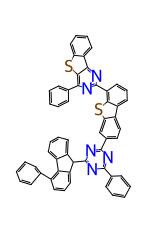 c1ccc(-c2nc(-c3ccc4c(c3)sc3c(-c5nc(-c6ccccc6)c6sc7ccccc7c6n5)cccc34)nc(C3c4ccccc4-c4c(-c5ccccc5)cccc43)n2)cc1